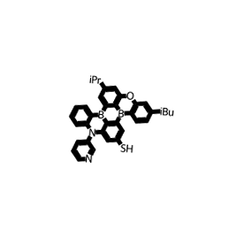 CCC(C)c1ccc2c(c1)Oc1cc(C(C)C)cc3c1B2c1cc(S)cc2c1B3c1ccccc1N2c1cccnc1